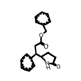 O=C1CCC(C(CC(=O)OCc2ccccc2)c2ccccc2)N1